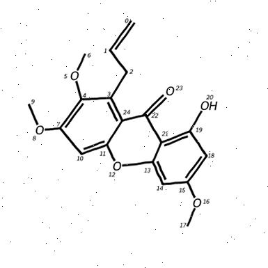 C=CCc1c(OC)c(OC)cc2oc3cc(OC)cc(O)c3c(=O)c12